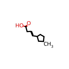 CC1CCC(/C=C/CC(=O)O)C1